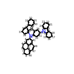 C1=CC2=CCc3cc(N4c5ccc(-n6c7ccccc7c7ccccc76)cc5B5c6ccccc6-c6cccc4c65)cc4c3C2C(=C1)C=C4